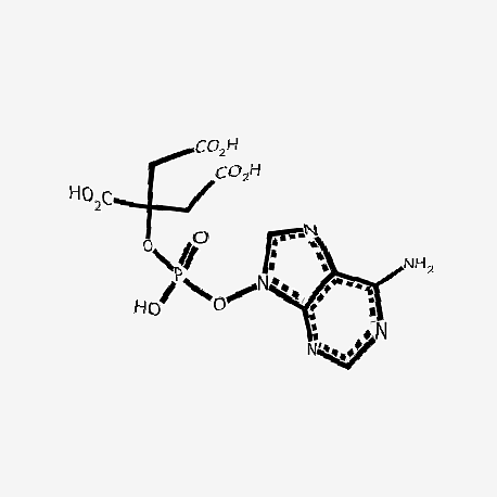 Nc1ncnc2c1ncn2OP(=O)(O)OC(CC(=O)O)(CC(=O)O)C(=O)O